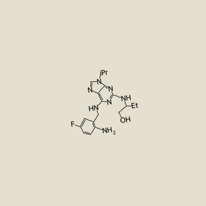 CCC(CO)Nc1nc(NCc2cc(F)ccc2N)c2ncn(C(C)C)c2n1